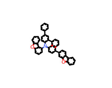 c1ccc(-c2ccc(N(c3ccc(-c4ccc5c(c4)oc4ccccc45)cc3)c3cccc4oc5ccccc5c34)c(-c3ccccc3)c2)cc1